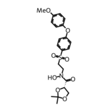 COc1ccc(Oc2ccc(S(=O)(=O)CCN(O)C(=O)[C@@H]3COC(C)(C)O3)cc2)cc1